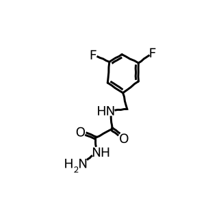 NNC(=O)C(=O)NCc1cc(F)cc(F)c1